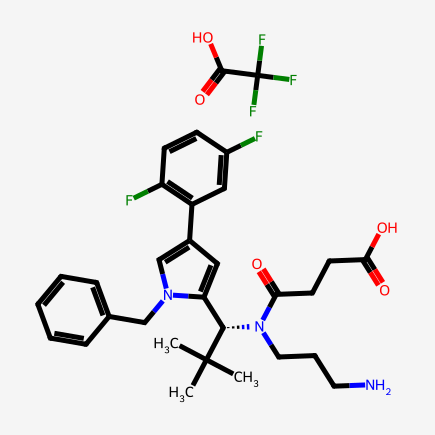 CC(C)(C)[C@H](c1cc(-c2cc(F)ccc2F)cn1Cc1ccccc1)N(CCCN)C(=O)CCC(=O)O.O=C(O)C(F)(F)F